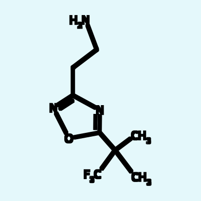 CC(C)(c1nc(CCN)no1)C(F)(F)F